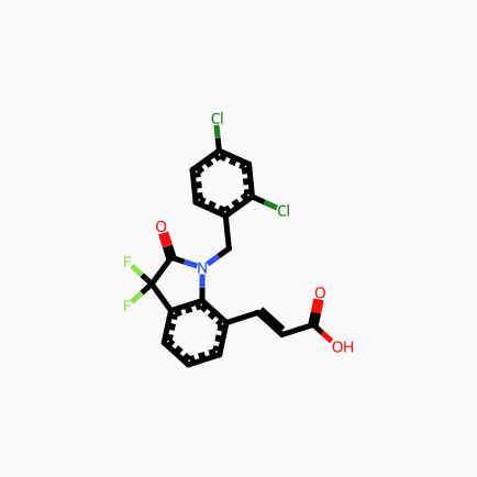 O=C(O)/C=C/c1cccc2c1N(Cc1ccc(Cl)cc1Cl)C(=O)C2(F)F